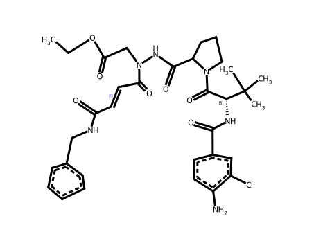 CCOC(=O)CN(NC(=O)C1CCCN1C(=O)[C@@H](NC(=O)c1ccc(N)c(Cl)c1)C(C)(C)C)C(=O)/C=C/C(=O)NCc1ccccc1